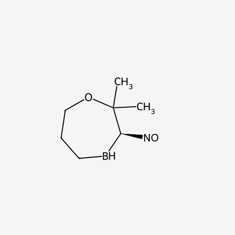 CC1(C)OCCCB[C@@H]1N=O